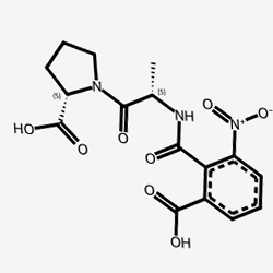 C[C@H](NC(=O)c1c(C(=O)O)cccc1[N+](=O)[O-])C(=O)N1CCC[C@H]1C(=O)O